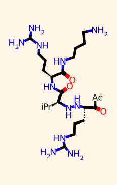 CC(=O)C(=O)[C@H](CCCNC(N)N)NN[C@H](C(=O)N[C@@H](CCCNC(N)N)C(=O)NCCCCN)C(C)C